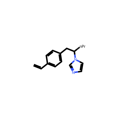 C=Cc1ccc(CC(CCC)n2ccnc2)cc1